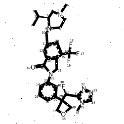 CC(C)[C@H]1CN(C)CCN1Cc1cc2c(c(C(F)(F)F)c1)CN(c1cccc(C3([C@@H](F)c4nncn4C)COC3)c1)C2=O